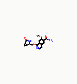 COc1cc2c(OCC3NC(=O)C4CC34)nccc2cc1C(N)=O